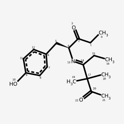 CCC(=O)[C@H](Cc1ccc(O)cc1)/N=C(\CC)C(C)(C)C(C)=O